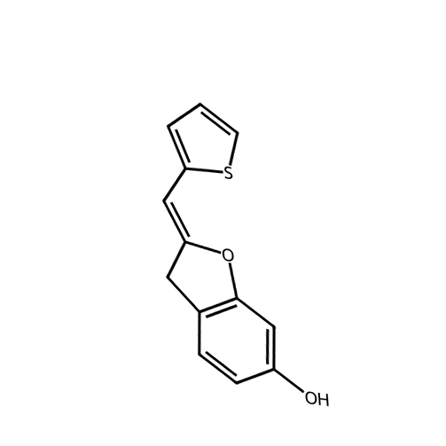 Oc1ccc2c(c1)O/C(=C\c1cccs1)C2